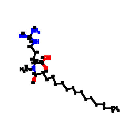 CCCCCCCCCCCCCCCC(=O)N(C)[C@@H](CCCNC(=N)N)C(=O)O